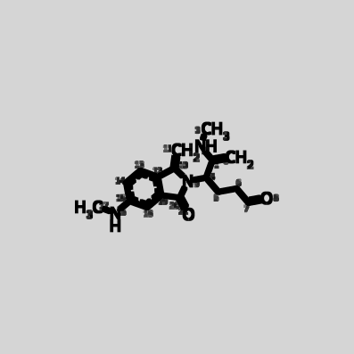 C=C(NC)C(CCC=O)N1C(=C)c2ccc(NC)cc2C1=O